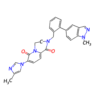 Cc1cn(-c2ccc3n(c2=O)CCN(Cc2ccccc2-c2ccc4c(cnn4C)c2)C3=O)cn1